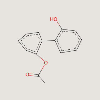 CC(=O)Oc1ccccc1-c1ccccc1O